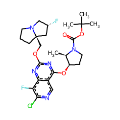 C[C@@H]1[C@H](Oc2nc(OC[C@@]34CCCN3C[C@H](F)C4)nc3c(F)c(Cl)ncc23)CCN1C(=O)OC(C)(C)C